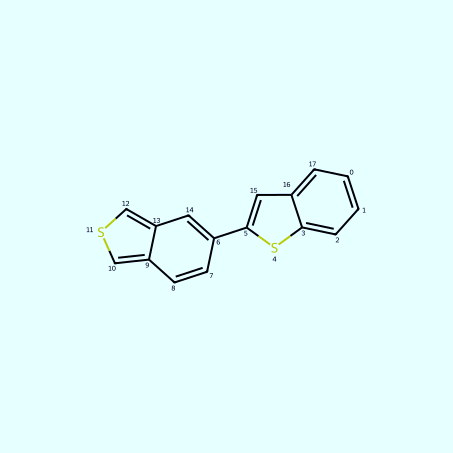 c1ccc2sc(-c3ccc4cscc4c3)cc2c1